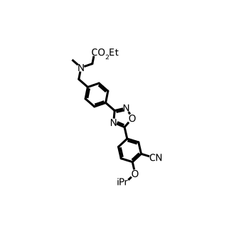 CCOC(=O)CN(C)Cc1ccc(-c2noc(-c3ccc(OC(C)C)c(C#N)c3)n2)cc1